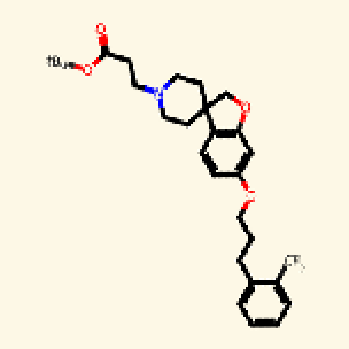 CC(C)(C)OC(=O)CCN1CCC2(CC1)COc1cc(OCCCc3ccccc3C(F)(F)F)ccc12